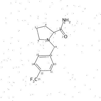 NC(=O)C1CCCN1Cc1ccc(C(F)(F)F)cc1